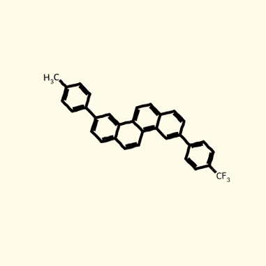 Cc1ccc(-c2ccc3ccc4c5cc(-c6ccc(C(F)(F)F)cc6)ccc5ccc4c3c2)cc1